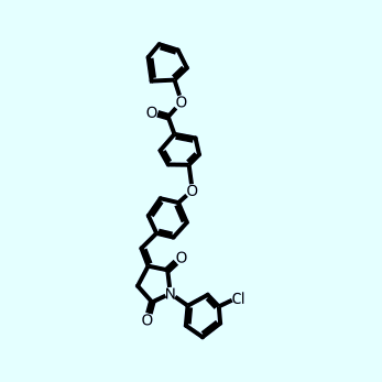 O=C(Oc1ccccc1)c1ccc(Oc2ccc(/C=C3/CC(=O)N(c4cccc(Cl)c4)C3=O)cc2)cc1